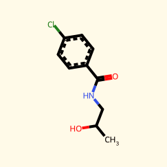 CC(O)CNC(=O)c1ccc(Cl)cc1